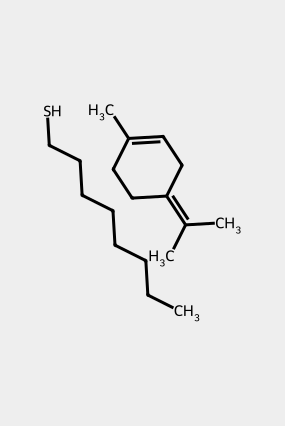 CC1=CCC(=C(C)C)CC1.CCCCCCCCS